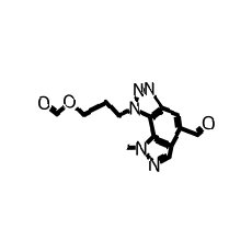 Cn1ncc2c(C=O)cc3nnn(CCCOC=O)c3c21